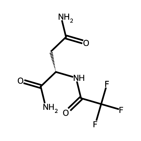 NC(=O)C[C@H](NC(=O)C(F)(F)F)C(N)=O